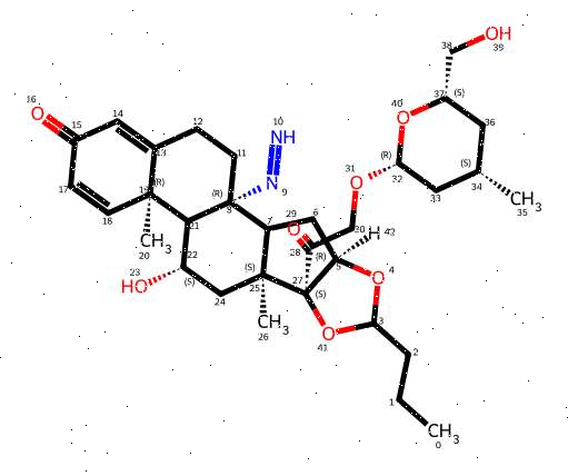 CCCC1O[C@@H]2CC3[C@]4(N=N)CCC5=CC(=O)C=C[C@]5(C)C4[C@@H](O)C[C@]3(C)[C@]2(C(=O)CO[C@H]2C[C@@H](C)C[C@@H](CO)O2)O1